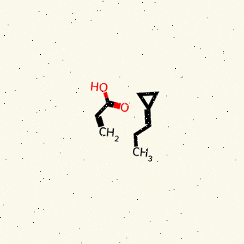 C=CC(=O)O.CCC=C1CC1